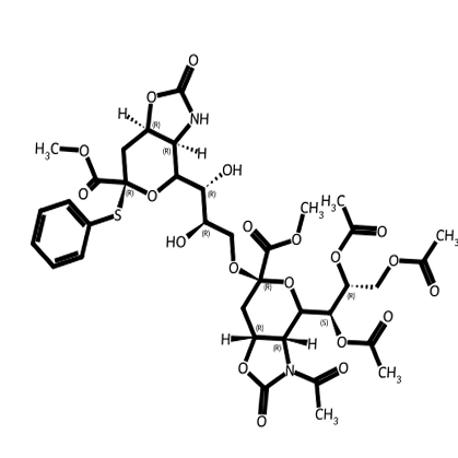 COC(=O)[C@@]1(OC[C@@H](O)[C@@H](O)C2O[C@](Sc3ccccc3)(C(=O)OC)C[C@H]3OC(=O)N[C@@H]23)C[C@H]2OC(=O)N(C(C)=O)[C@H]2C([C@H](OC(C)=O)[C@@H](COC(C)=O)OC(C)=O)O1